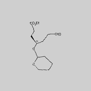 CCOC(=O)CC[C@@H](CCC=O)OC1CCCCO1